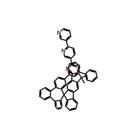 CC1(C)c2ccccc2-c2cc3c(cc21)-c1ccccc1C31c2ccccc2-c2ccccc2-c2ccc(-c3cc(-c4ccccc4)nc(-c4ccc(-c5cccnc5)nc4)n3)cc21